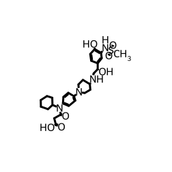 CS(=O)(=O)Nc1cc([C@H](O)CNC2CCN(c3ccc(N(C(=O)CC(=O)O)C4CCCCC4)cc3)CC2)ccc1O